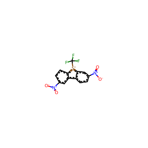 O=[N+]([O-])c1ccc2c(c1)c1ccc([N+](=O)[O-])cc1[s+]2C(F)(F)F